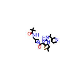 Cc1cc2nc(NC(C)c3cccnc3)nc(C(=O)N3CC(CNC(=O)C(C)(C)C)C3)c2s1